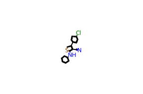 N#Cc1c(-c2ccc(Cl)cc2)csc1Nc1ccccc1